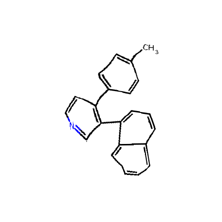 Cc1ccc(-c2ccn[c]c2-c2cccc3ccccc23)cc1